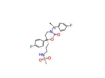 C[C@@H](c1ccc(F)cc1)N1CC[C@](CCCNS(C)(=O)=O)(c2ccc(F)cc2)OC1=O